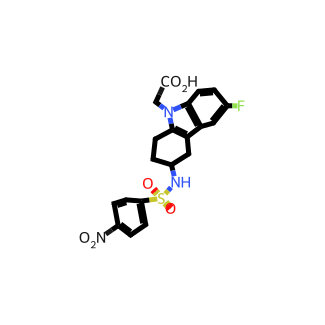 O=C(O)Cn1c2c(c3cc(F)ccc31)CC(NS(=O)(=O)c1ccc([N+](=O)[O-])cc1)CC2